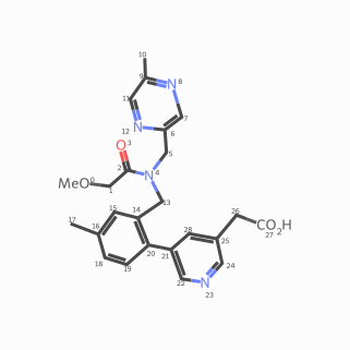 COCC(=O)N(Cc1cnc(C)cn1)Cc1cc(C)ccc1-c1cncc(CC(=O)O)c1